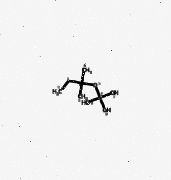 CCC(C)(C)O[Si](O)(O)O